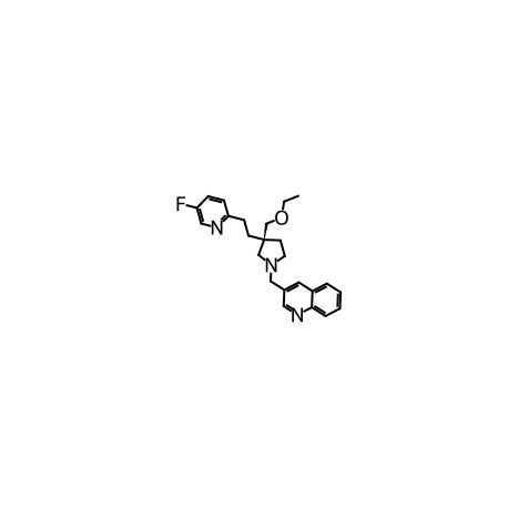 CCOC[C@@]1(CCc2ccc(F)cn2)CCN(Cc2cnc3ccccc3c2)C1